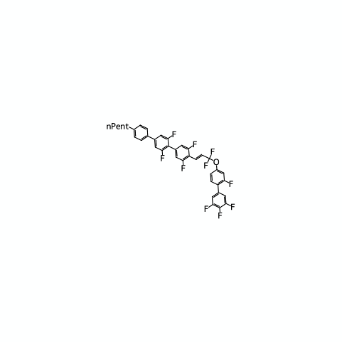 CCCCCc1ccc(-c2cc(F)c(-c3cc(F)c(/C=C/C(F)(F)Oc4ccc(-c5cc(F)c(F)c(F)c5)c(F)c4)c(F)c3)c(F)c2)cc1